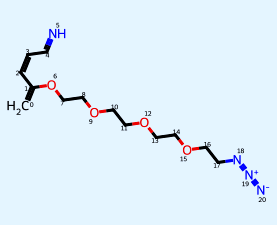 C=C(/C=C\C=N)OCCOCCOCCOCCN=[N+]=[N-]